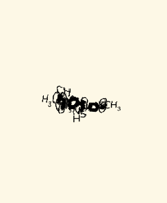 CC(C)(C)OC(=O)N1CCc2c([nH]c(=S)n(-c3ccc(S(C)(=O)=O)cc3)c2=O)C1